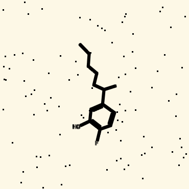 CCCCCC(C)c1ccc(F)c(O)c1